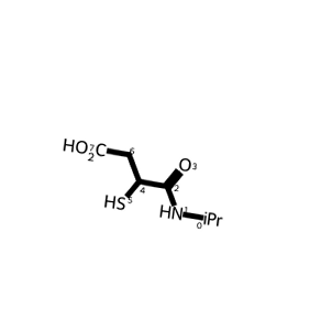 CC(C)NC(=O)C(S)CC(=O)O